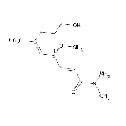 CN(C)C(=O)C=C[SiH](C=C(CCCO)C(=O)O)O[SiH3]